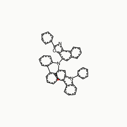 c1ccc(-c2nc3c(o2)c(N(c2ccc4c5ccccc5n(-c5ccccc5)c4c2)c2ccccc2-c2ccccc2)cc2ccccc23)cc1